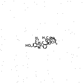 Cc1c(B2OC(C)(C)C(C)(C)O2)cccc1-c1nc2cc(CO)cc(C)c2o1